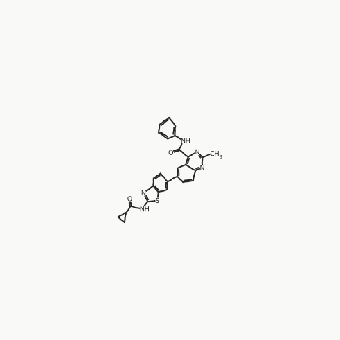 Cc1nc(C(=O)Nc2ccccc2)c2cc(-c3ccc4nc(NC(=O)C5CC5)sc4c3)ccc2n1